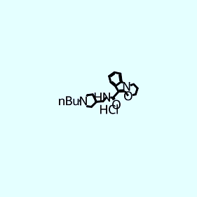 CCCCN1CCC(CNC(=O)c2c3n(c4ccccc24)CCCO3)CC1.Cl